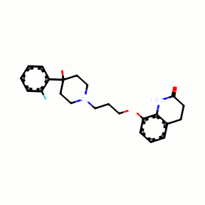 O=C1CCc2cccc(OCCCN3CCC(O)(c4ccccc4F)CC3)c2N1